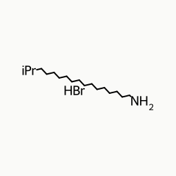 Br.CC(C)CCCCCCCCCCCCCCCN